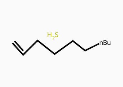 C=CCCCCCCCC.S